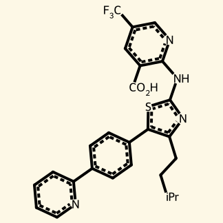 CC(C)CCc1nc(Nc2ncc(C(F)(F)F)cc2C(=O)O)sc1-c1ccc(-c2ccccn2)cc1